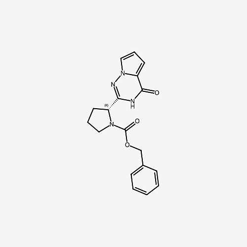 O=C(OCc1ccccc1)N1CCC[C@@H]1c1nn2cccc2c(=O)[nH]1